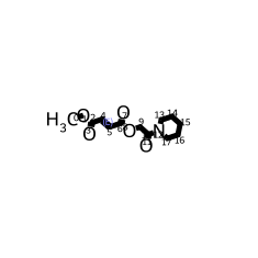 COC(=O)/C=C/C(=O)OCC(=O)N1CCCCC1